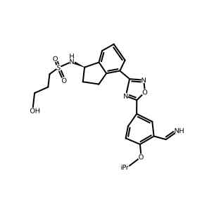 CC(C)Oc1ccc(-c2nc(-c3cccc4c3CC[C@H]4NS(=O)(=O)CCCO)no2)cc1C=N